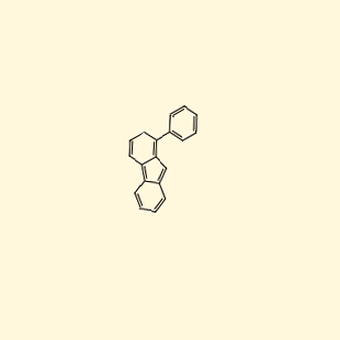 C1=CC2=c3ccccc3=CC2=C(c2ccccc2)C1